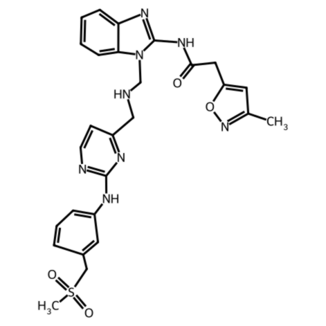 Cc1cc(CC(=O)Nc2nc3ccccc3n2CNCc2ccnc(Nc3cccc(CS(C)(=O)=O)c3)n2)on1